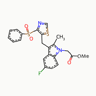 COC(=O)Cn1c(C)c(Cc2scnc2S(=O)(=O)c2ccccc2)c2cc(F)ccc21